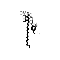 COC(=O)C(Cl)C(Cl)C(Cl)C(Cl)CCCCCCCCCCCCCCl.Cc1ccc(O)c(Br)c1